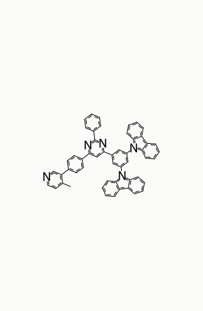 Cc1ccncc1-c1ccc(-c2cc(-c3cc(-n4c5ccccc5c5ccccc54)cc(-n4c5ccccc5c5ccccc54)c3)nc(-c3ccccc3)n2)cc1